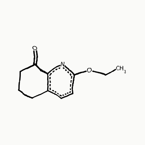 CCOc1ccc2c(n1)C(=O)CCC2